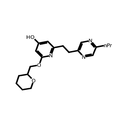 CCCc1cnc(CCc2cc(O)cc(OCC3CCCCO3)n2)cn1